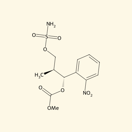 COC(=O)O[C@@H](c1ccccc1[N+](=O)[O-])[C@@H](C)COS(N)(=O)=O